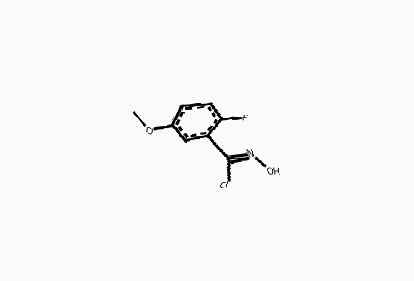 COc1ccc(F)c(/C(Cl)=N/O)c1